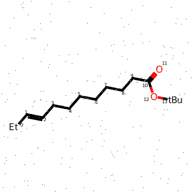 CCC=CCCCCCCCC(=O)OC(C)(C)C